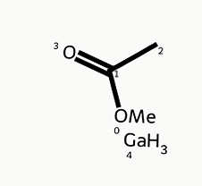 COC(C)=O.[GaH3]